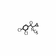 O=C(c1ccc(Cl)c(Cl)c1)C(N=C=S)C1CC1